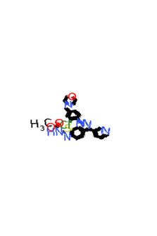 COC(=O)Nc1nc2c(s1)-c1c(c(-c3cccnc3)nn1-c1ccc(CN3CCOCC3)cc1Cl)CC2